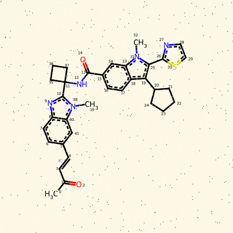 CC(=O)/C=C/c1ccc2nc(C3(NC(=O)c4ccc5c(C6CCCC6)c(-c6nccs6)n(C)c5c4)CCC3)n(C)c2c1